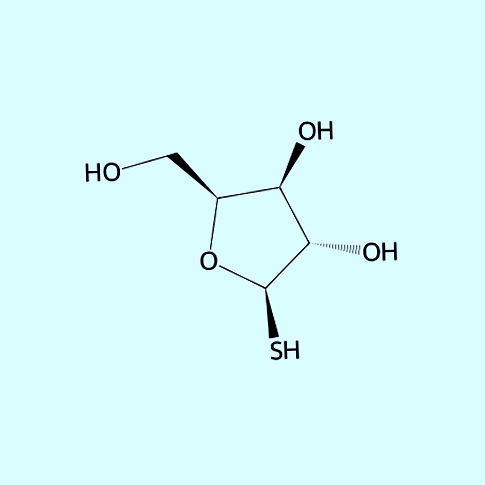 OC[C@@H]1O[C@H](S)[C@@H](O)[C@@H]1O